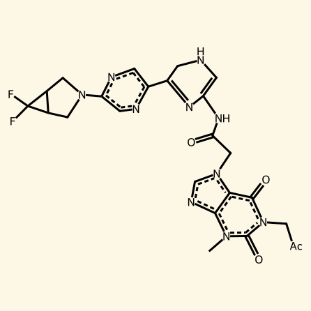 CC(=O)Cn1c(=O)c2c(ncn2CC(=O)NC2=CNCC(c3cnc(N4CC5C(C4)C5(F)F)cn3)=N2)n(C)c1=O